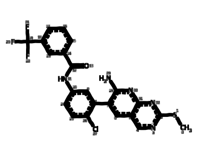 CSc1ncc2cc(-c3cc(NC(=O)c4cccc(C(F)(F)F)c4)ccc3Cl)c(N)nc2n1